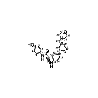 O=C(Nc1ccc(O)cc1)c1n[nH]c2ccc(-c3cncc(CN4CCOCC4)c3)cc12